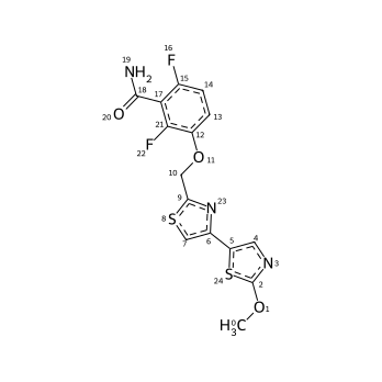 COc1ncc(-c2csc(COc3ccc(F)c(C(N)=O)c3F)n2)s1